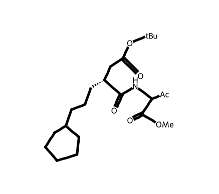 COC(=O)C(NC(=O)[C@H](CCCC1CCCCC1)CC(=O)OC(C)(C)C)C(C)=O